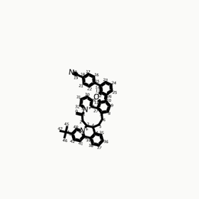 C=C1CC2C(CCc3ccc4c(oc5c(-c6ccc(C#N)cc6)cccc54)c3-c3cccc[n+]31)c1ccccc1-c1ccc(C(C)(C)C)c[n+]12